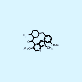 COc1ccc(CN2CCC(C)C(C(=O)c3c(OC)cnc4c3ccn4C)C2)cc1